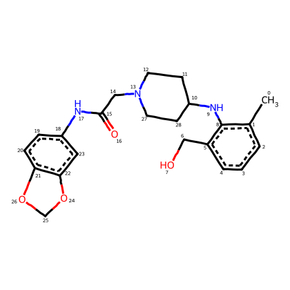 Cc1cccc(CO)c1NC1CCN(CC(=O)Nc2ccc3c(c2)OCO3)CC1